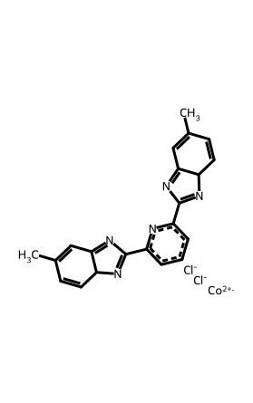 CC1=CC2=NC(c3cccc(C4=NC5C=CC(C)=CC5=N4)n3)=NC2C=C1.[Cl-].[Cl-].[Co+2]